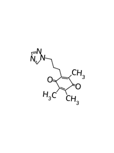 CC1=C(C)C(=O)C(CCCn2cncn2)=C(C)C1=O